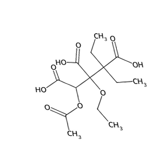 CCOC(C(=O)O)(C(OC(C)=O)C(=O)O)C(CC)(CC)C(=O)O